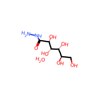 NNC(=O)[C@H](O)[C@@H](O)[C@H](O)[C@H](O)CO.O